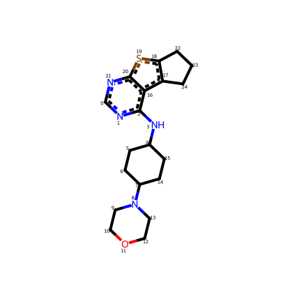 c1nc(NC2CCC(N3CCOCC3)CC2)c2c3c(sc2n1)CCC3